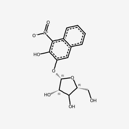 O=[N+]([O-])c1c(O)c(O[C@@H]2O[C@H](CO)C(O)[C@@H]2O)cc2ccccc12